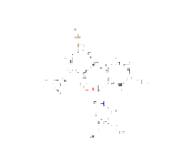 O=C(c1cc(F)ccc1-c1cc(Br)cc(C2CC2)c1)N1CC(F)(F)C1